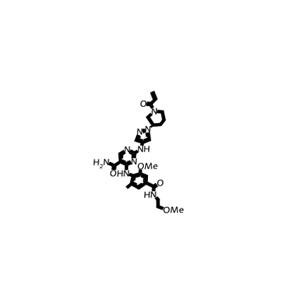 C=CC(=O)N1CCC[C@@H](n2cc(Nc3ncc(C(N)=O)c(Nc4c(C)cc(C(=O)NCCOC)cc4OC)n3)cn2)C1